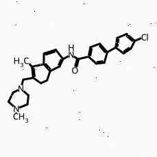 CC1=C(CN2CCN(C)CC2)CCc2cc(NC(=O)c3ccc(-c4ccc(Cl)cc4)cc3)ccc21